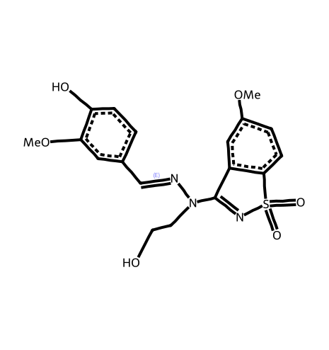 COc1ccc2c(c1)C(N(CCO)/N=C/c1ccc(O)c(OC)c1)=NS2(=O)=O